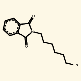 N#CCCCCCCN1C(=O)c2ccccc2C1=O